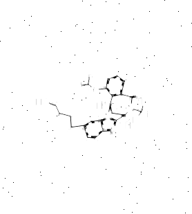 [2H]C([2H])([2H])N1C(=O)c2cccc(OC(F)F)c2[C@H]2C[C@@H]1c1nc3ccc(CCCCO)cc3n12